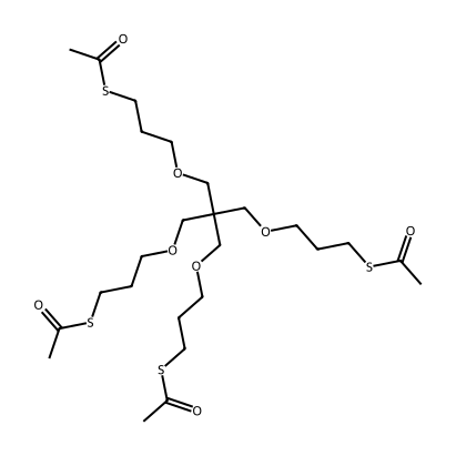 CC(=O)SCCCOCC(COCCCSC(C)=O)(COCCCSC(C)=O)COCCCSC(C)=O